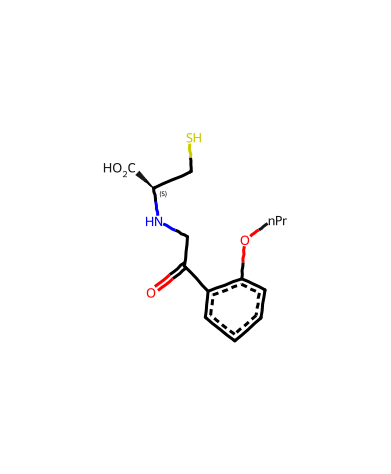 CCCOc1ccccc1C(=O)CN[C@H](CS)C(=O)O